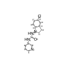 O=C(Nc1cccnc1)NN1CCc2cc(Cl)ccc21